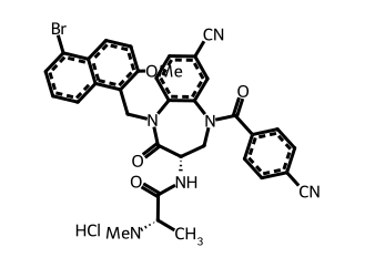 CN[C@@H](C)C(=O)N[C@H]1CN(C(=O)c2ccc(C#N)cc2)c2cc(C#N)ccc2N(Cc2c(OC)ccc3c(Br)cccc23)C1=O.Cl